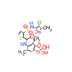 Cc1cc2c(c(C)c1NC(=O)c1sccc1S(=O)(=O)Nc1onc(C)c1Cl)OC(O)(O)O2